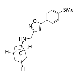 CSc1ccc(-c2cc(CN[C@@]34C[C@@H]5C[C@@H](C[C@H]3C5)C4)no2)cc1